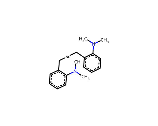 CN(C)c1ccccc1[CH2][Sc][CH2]c1ccccc1N(C)C